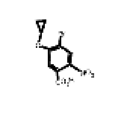 O=C(O)c1cc(OC2CC2)c(Br)cc1[N+](=O)[O-]